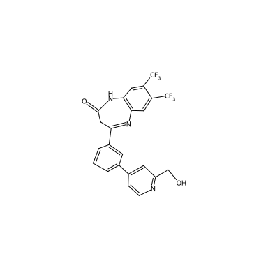 O=C1CC(c2cccc(-c3ccnc(CO)c3)c2)=Nc2cc(C(F)(F)F)c(C(F)(F)F)cc2N1